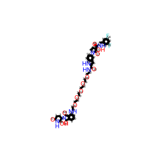 O=C1CCC(N2C(=O)c3cccc(NCCOCCOCCOCCOCCOCCNC(=O)c4cc5cc(N6CCC(O)(C(=O)NCc7cc(F)cc(F)c7)C6=O)ccc5[nH]4)c3C2=O)C(O)N1